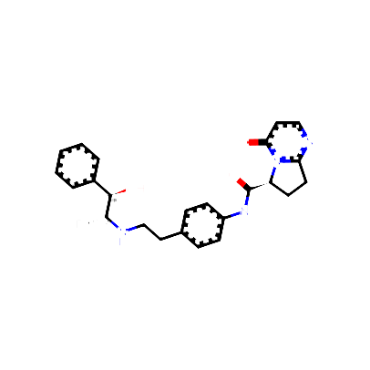 CC[C@@H](NCCc1ccc(NC(=O)[C@@H]2CCc3nccc(=O)n32)cc1)[C@H](O)c1ccccc1